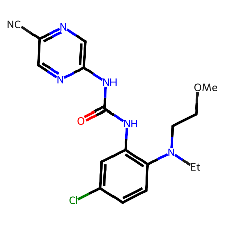 CCN(CCOC)c1ccc(Cl)cc1NC(=O)Nc1cnc(C#N)cn1